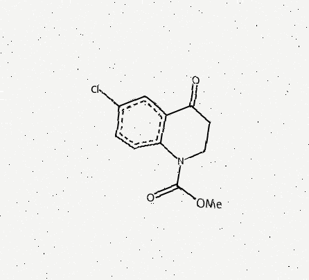 COC(=O)N1CCC(=O)c2cc(Cl)ccc21